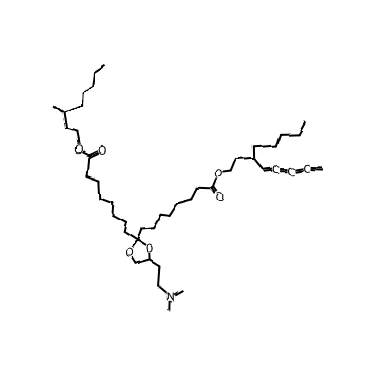 C=C=C=C=CC(CCCCC)CCOC(=O)CCCCCCCC1(CCCCCCCC(=O)OCCC(C)CCCCC)OCC(CCN(C)C)O1